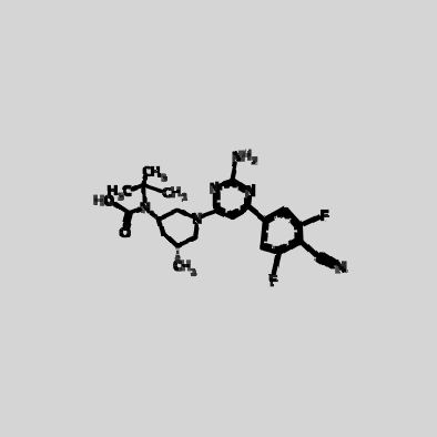 C[C@@H]1C[C@@H](N(C(=O)O)C(C)(C)C)CN(c2cc(-c3cc(F)c(C#N)c(F)c3)nc(N)n2)C1